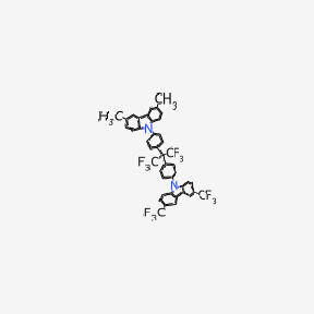 Cc1ccc2c(c1)c1cc(C)ccc1n2-c1ccc(C(c2ccc(-n3c4ccc(C(F)(F)F)cc4c4cc(C(F)(F)F)ccc43)cc2)(C(F)(F)F)C(F)(F)F)cc1